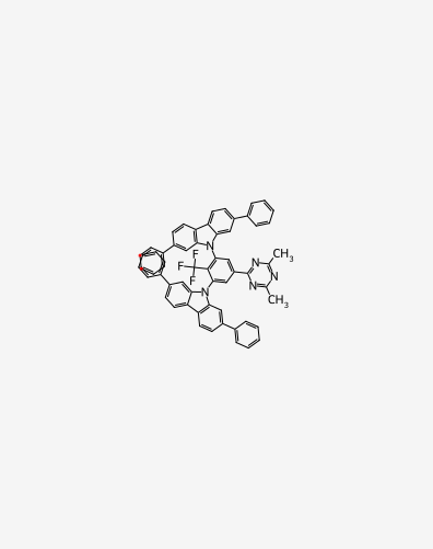 Cc1nc(C)nc(-c2cc(-n3c4cc(-c5ccccc5)ccc4c4ccc(-c5ccccc5)cc43)c(C(F)(F)F)c(-n3c4cc(-c5ccccc5)ccc4c4ccc(-c5ccccc5)cc43)c2)n1